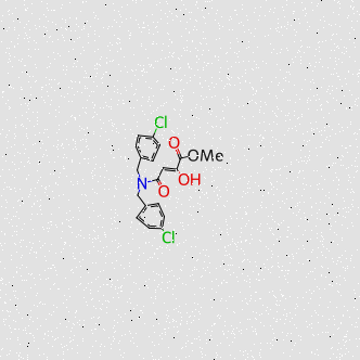 COC(=O)C(O)=CC(=O)N(Cc1ccc(Cl)cc1)Cc1ccc(Cl)cc1